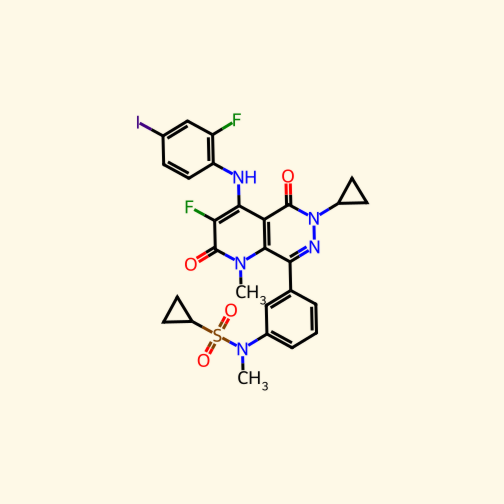 CN(c1cccc(-c2nn(C3CC3)c(=O)c3c(Nc4ccc(I)cc4F)c(F)c(=O)n(C)c23)c1)S(=O)(=O)C1CC1